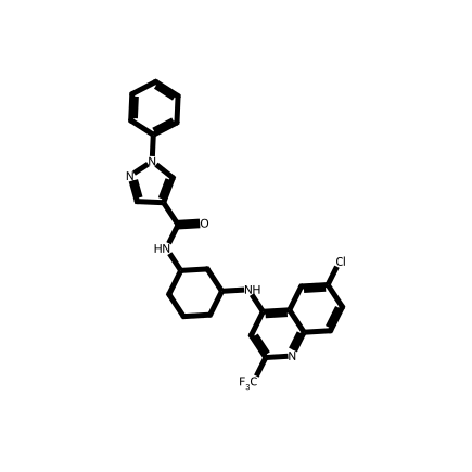 O=C(NC1CCCC(Nc2cc(C(F)(F)F)nc3ccc(Cl)cc23)C1)c1cnn(-c2ccccc2)c1